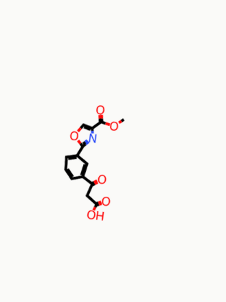 COC(=O)c1coc(-c2cccc(C(=O)CC(=O)O)c2)n1